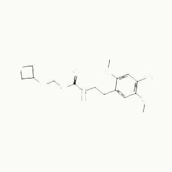 COc1cc(CCNC(=O)OCOC2COC2)c(OC)cc1Br